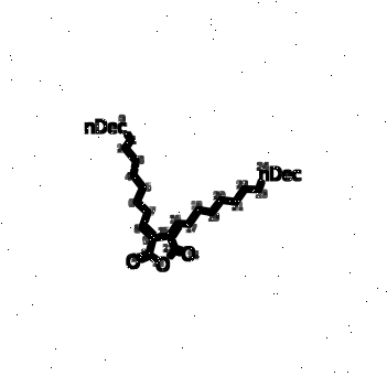 CCCCCCCCCCCCCCCCCC=C1C(=O)OC(=O)C1=CCCCCCCCCCCCCCCCCC